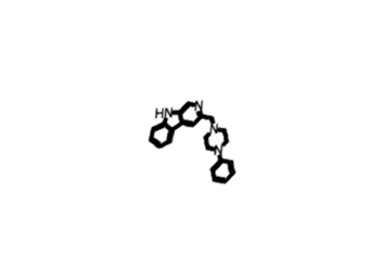 c1ccc(N2CCN(Cc3cc4c(cn3)[nH]c3ccccc34)CC2)cc1